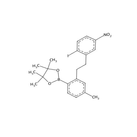 Cc1ccc(B2OC(C)(C)C(C)(C)O2)c(CCc2cc([N+](=O)[O-])ccc2I)c1